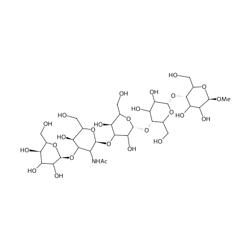 CO[C@@H]1OC(CO)[C@@H](O[C@@H]2OC(CO)[C@H](O[C@H]3OC(CO)[C@H](O)C(O[C@@H]4OC(CO)[C@H](O)C(O[C@@H]5OC(CO)[C@H](O)C(O)C5O)C4NC(C)=O)C3O)C(O)C2O)C(O)C1O